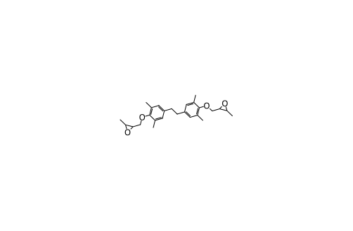 Cc1cc(CCc2cc(C)c(OCC3OC3C)c(C)c2)cc(C)c1OCC1OC1C